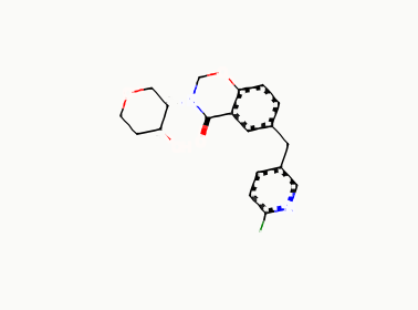 O=C1c2cc(Cc3ccc(Cl)nc3)ccc2OCN1[C@H]1COCC[C@@H]1O